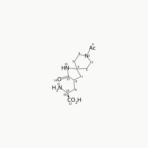 CC(=O)N1CCC2(CC1)CC(C[C@H](N)C(=O)O)C(=O)N2